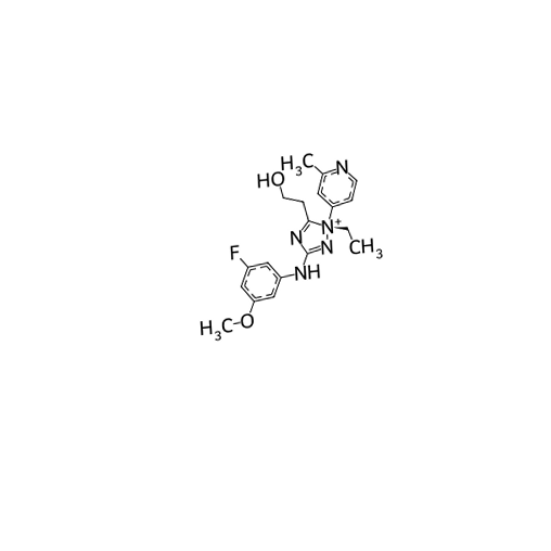 CC[N@@+]1(c2ccnc(C)c2)N=C(Nc2cc(F)cc(OC)c2)N=C1CCO